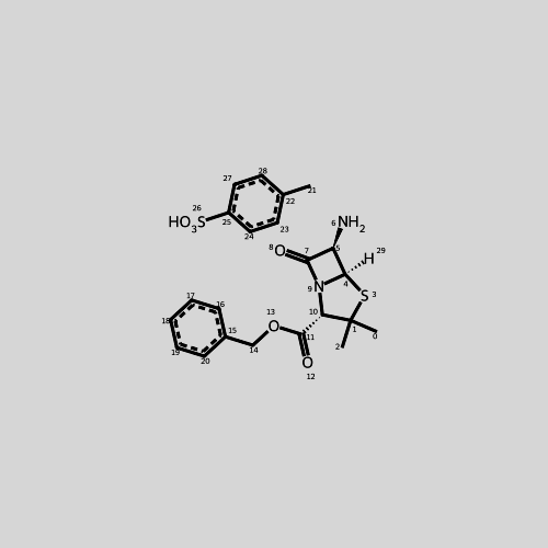 CC1(C)S[C@@H]2[C@H](N)C(=O)N2[C@H]1C(=O)OCc1ccccc1.Cc1ccc(S(=O)(=O)O)cc1